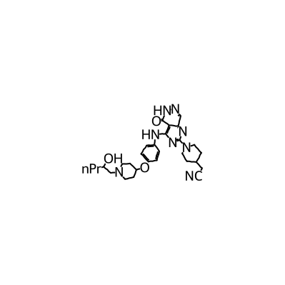 CCCC(O)CN1CCC(Oc2ccc(Nc3nc(N4CCC(CC#N)CC4)nc4cn[nH]c(=O)c34)cc2)CC1